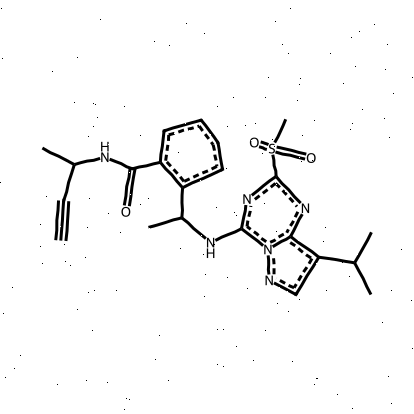 C#CC(C)NC(=O)c1ccccc1C(C)Nc1nc(S(C)(=O)=O)nc2c(C(C)C)cnn12